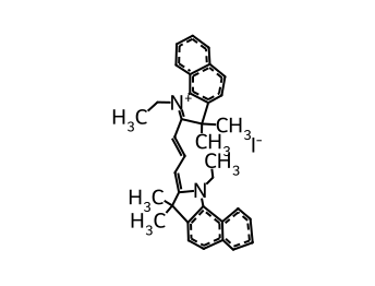 CCN1C(=CC=CC2=[N+](CC)c3c(ccc4ccccc34)C2(C)C)C(C)(C)c2ccc3ccccc3c21.[I-]